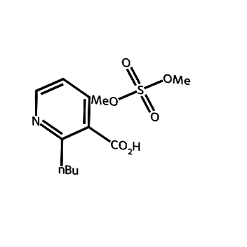 CCCCc1ncccc1C(=O)O.COS(=O)(=O)OC